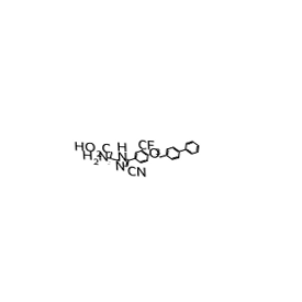 C[C@](N)(CC(=O)O)c1nc(C#N)c(-c2ccc(OCc3ccc(-c4ccccc4)cc3)c(C(F)(F)F)c2)[nH]1